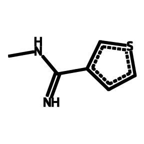 CNC(=N)c1ccsc1